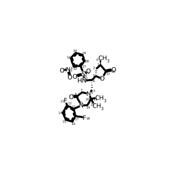 C[C@@H]1C[C@@H]([C@H](CN2CC(=O)N(c3c(F)cccc3F)CC2(C)C)NS(=O)(=O)c2ccccc2[N+](=O)[O-])OC1=O